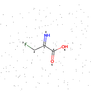 N=C(CF)C(=O)O